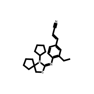 CCc1cc(/C=C/C#N)ccc1/N=C1/SCC2(CCCC2)N1C1CCCC1